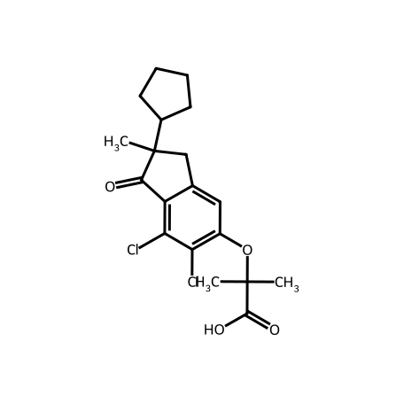 CC(C)(Oc1cc2c(c(Cl)c1Cl)C(=O)C(C)(C1CCCC1)C2)C(=O)O